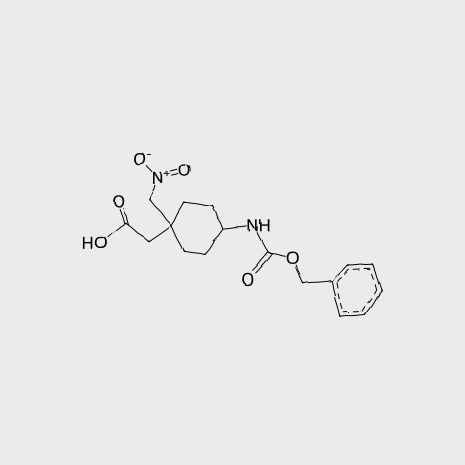 O=C(O)CC1(C[N+](=O)[O-])CCC(NC(=O)OCc2ccccc2)CC1